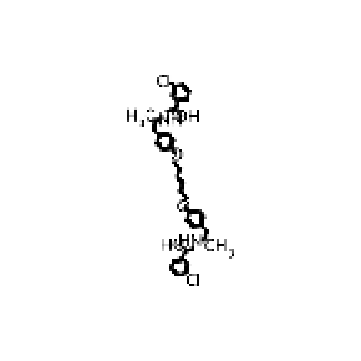 C[C@H](Cc1ccc(OCCCCCCOc2ccc(C[C@@H](C)NC[C@H](O)c3cccc(Cl)c3)cc2)cc1)NC[C@H](O)c1cccc(Cl)c1